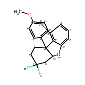 COc1ccc(C23CCC(F)(F)CC2Oc2cccc(Cl)c23)cc1